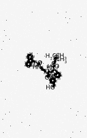 C[Si](C)(C)CCOC(=O)N[C@@H](Cc1ccccc1)C(=O)N[C@@H](CCCCNC(=O)OCC1c2ccccc2-c2ccccc21)C(=O)Nc1ccc(CO)cc1